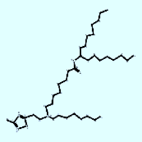 CCCCCCCCC(CCCCCCCC)OC(=O)CCCCCCCN(CCCCCCCC)CCc1nc(C)no1